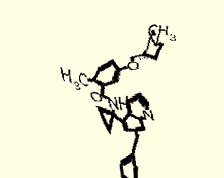 Cc1ccc(OC[C@@H]2CCN2C)cc1C(=O)NC1(c2cc(-c3ccccc3)cc3ncccc23)CC1